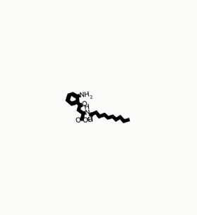 CCCCCCCCCC(=O)NC(CC(=O)c1ccccc1N)C(=O)O